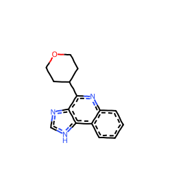 c1ccc2c(c1)nc(C1CCOCC1)c1nc[nH]c12